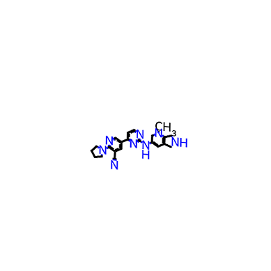 CN1CC(Nc2nccc(-c3cnc(N4CCCC4)c(C#N)c3)n2)=CC2=C1CNC2